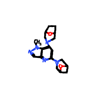 Cn1ncc2nc(N3CC4CC(C3)O4)cc(N3CC4CCC(C3)O4)c21